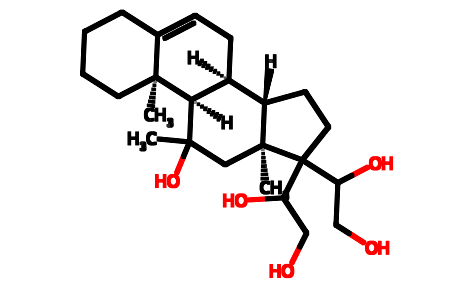 CC1(O)C[C@@]2(C)[C@@H](CCC2(C(O)CO)C(O)CO)[C@@H]2CC=C3CCCC[C@]3(C)[C@@H]21